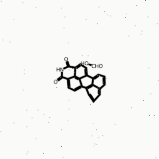 O=C1NC(=O)c2ccc3c4cccc5cccc(c6ccc1c2c63)c54.O=CO